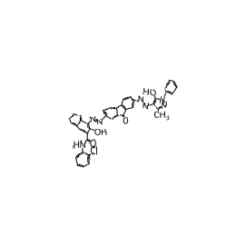 Cc1nn(-c2ccccc2)c(O)c1N=Nc1ccc2c(c1)C(=O)c1cc(N=Nc3c(O)c(C(=O)Nc4ccccc4Cl)cc4ccccc34)ccc1-2